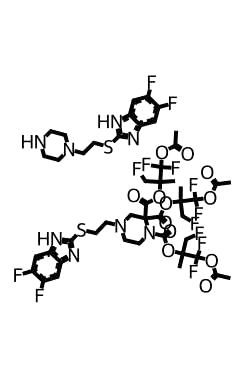 CC(=O)OC(F)(F)C(C)(CF)OC(=O)N1CCN(CCSc2nc3cc(F)c(F)cc3[nH]2)CC1(C(=O)OC(C)(CF)C(F)(F)OC(C)=O)C(=O)OC(C)(CF)C(F)(F)OC(C)=O.Fc1cc2nc(SCCN3CCNCC3)[nH]c2cc1F